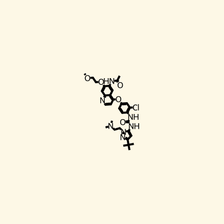 COCCOc1cc2nccc(Oc3ccc(NC(=O)Nc4cc(C(C)(C)C)nn4CCN(C)C)c(Cl)c3)c2cc1NC(C)=O